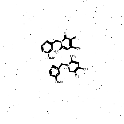 COc1cccc(CN2CC(Cl)=C(O)C=C2C)c1.COc1cccc(Cn2c(C)cc(O)c(I)c2=O)c1